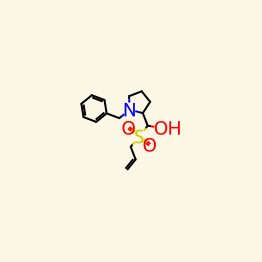 C=CCS(=O)(=O)C(O)C1CCCN1Cc1ccccc1